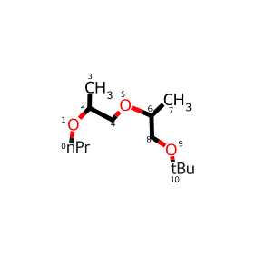 C[CH]COC(C)COC(C)COC(C)(C)C